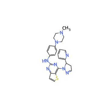 CN1CCN(c2ccc(Nc3nc(N4N=CCC4c4ccccn4)c4sccc4n3)cc2)CC1